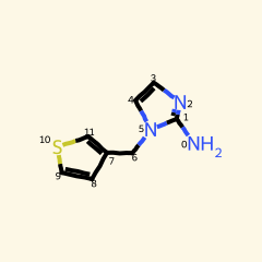 Nc1nccn1Cc1ccsc1